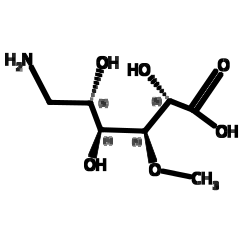 CO[C@@H]([C@@H](O)[C@@H](O)CN)[C@H](O)C(=O)O